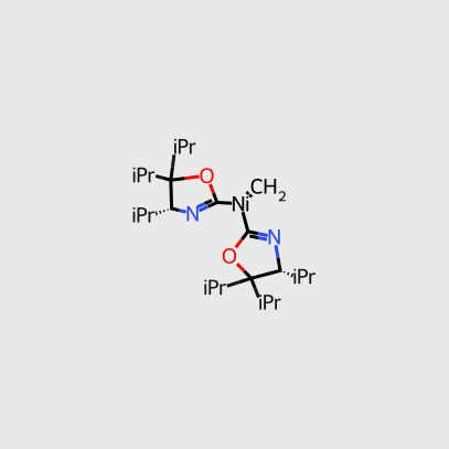 [CH2]=[Ni]([C]1=N[C@H](C(C)C)C(C(C)C)(C(C)C)O1)[C]1=N[C@H](C(C)C)C(C(C)C)(C(C)C)O1